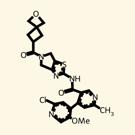 COc1cnc(Cl)cc1-c1cc(C)ncc1C(=O)Nc1nc2c(s1)CN(C(=O)C1CC3(COC3)C1)C2